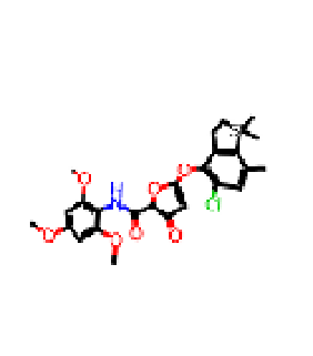 COc1cc(OC)c(NC(=O)C2OC(Oc3c(Cl)cc(C)c4c3CC[Si]4(C)C)=CC2=O)c(OC)c1